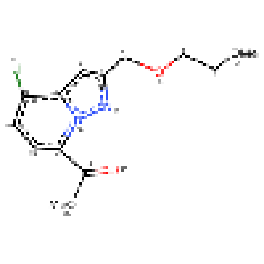 COCCOCc1cc2c(Cl)ccc(C(=O)OC)n2n1